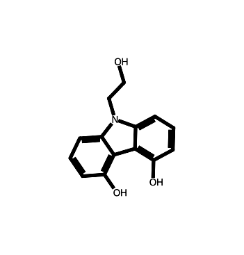 OCCn1c2cccc(O)c2c2c(O)cccc21